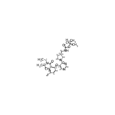 CCN(C(=O)c1cc(F)ccc1Oc1cncnc1N1CC[C@@H](CNC(=O)OC(C)(C)C)C1)C(C)C